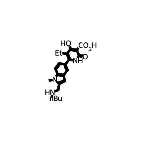 CCCCNCc1cc2cc(-c3[nH]c(=O)c(C(=O)O)c(O)c3CC)ccc2n1C